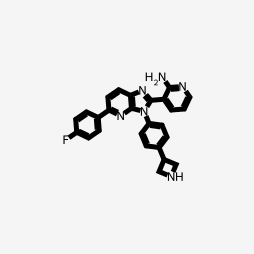 Nc1ncccc1-c1nc2ccc(-c3ccc(F)cc3)nc2n1-c1ccc(C2CNC2)cc1